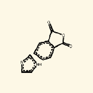 O=C1OC(=O)c2ccccc21.c1c[nH]cn1